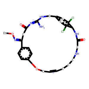 CCON=C1CC(=O)/N=C(\N)NCc2cc(Cl)c(c(Cl)c2)NC(=O)CNCCC/C=C\COc2ccc1cc2